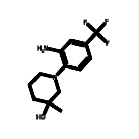 CC1(O)CCCN(c2ccc(C(F)(F)F)cc2N)C1